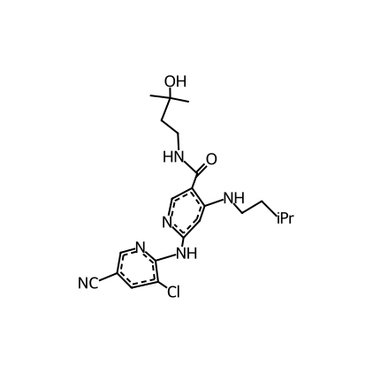 CC(C)CCNc1cc(Nc2ncc(C#N)cc2Cl)ncc1C(=O)NCCC(C)(C)O